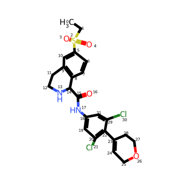 CCS(=O)(=O)c1ccc2c(c1)CCNC2C(=O)Nc1cc(Cl)c(C2=CCOCC2)c(Cl)c1